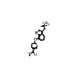 COC(=O)c1ccc(Oc2cccc3c(CC(C)(C)N)c[nH]c23)nc1